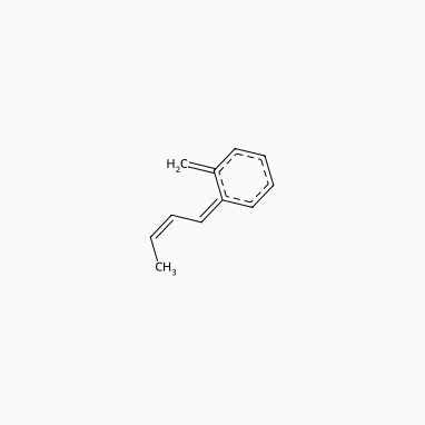 C=c1cccc/c1=C/C=C\C